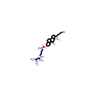 CC(C)CCCCC1CCC2C3CC=C4CC(OC(=O)N(CCCCNC(C)CC(C)N)C(C)C)CCC4(C)C3CCC12C